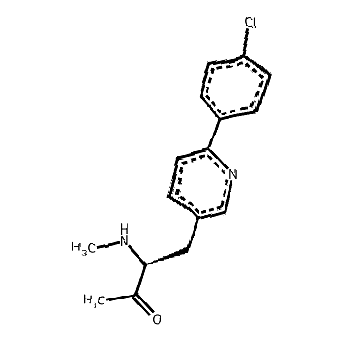 CN[C@@H](Cc1ccc(-c2ccc(Cl)cc2)nc1)C(C)=O